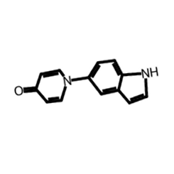 O=c1ccn(-c2ccc3[nH]ccc3c2)cc1